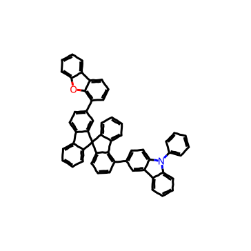 c1ccc(-n2c3ccccc3c3cc(-c4cccc5c4-c4ccccc4C54c5ccccc5-c5ccc(-c6cccc7c6oc6ccccc67)cc54)ccc32)cc1